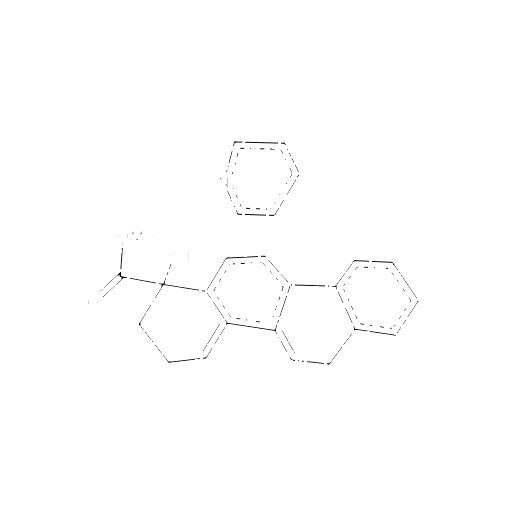 COC(=O)C1(C)CCC=c2c1ccc1c2=CCc2ccccc2-1.c1ccncc1